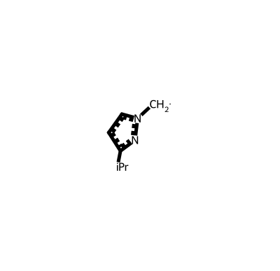 [CH2]n1ccc(C(C)C)n1